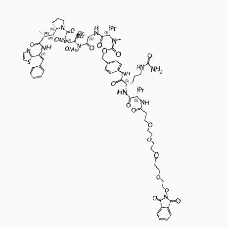 CC[C@H](C)C([C@@H](CC(=O)N1CCC[C@H]1[C@H](OC)[C@@H](C)C(=O)N[C@@H](Cc1ccccc1)c1nccs1)OC)N(C)C(=O)[C@@H](NC(=O)[C@H](C(C)C)N(C)C(=O)OCc1ccc(NC(=O)[C@H](CCCNC(N)=O)NC(=O)[C@@H](NC(=O)CCOCCOCCOCCOCCON2C(=O)c3ccccc3C2=O)C(C)C)cc1)C(C)C